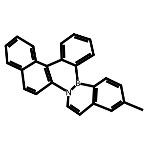 Cc1ccc2c(c1)C=CN1B2c2ccccc2-c2c1ccc1ccccc21